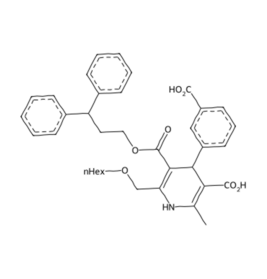 CCCCCCOCC1=C(C(=O)OCCC(c2ccccc2)c2ccccc2)C(c2cccc(C(=O)O)c2)C(C(=O)O)=C(C)N1